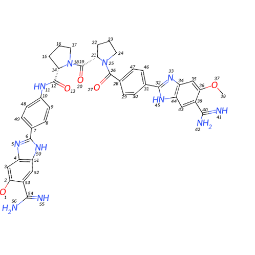 COc1cc2nc(-c3ccc(NC(=O)[C@@H]4CCCN4C(=O)[C@@H]4CCCN4C(=O)c4ccc(-c5nc6cc(OC)c(C(=N)N)cc6[nH]5)cc4)cc3)[nH]c2cc1C(=N)N